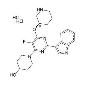 Cl.Cl.OC1CCN(c2nc(-c3cnn4ccccc34)nc(O[C@@H]3CCCNC3)c2F)CC1